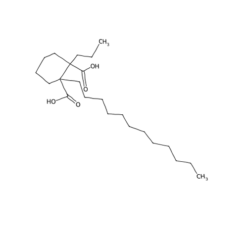 CCCCCCCCCCCCC1(C(=O)O)CCCCC1(CCC)C(=O)O